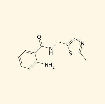 Cc1ncc(CNC(=O)c2ccccc2N)s1